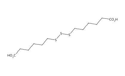 O=C(O)CCCCCSSSCCCCCC(=O)O